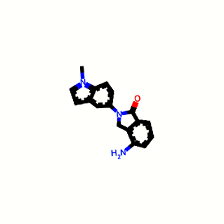 Cn1ccc2cc(N3Cc4c(N)cccc4C3=O)ccc21